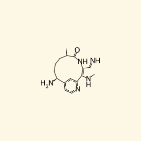 CN/C1=C(\C=N)NC(=O)C(C)CCC[C@H](N)c2ccnc1c2